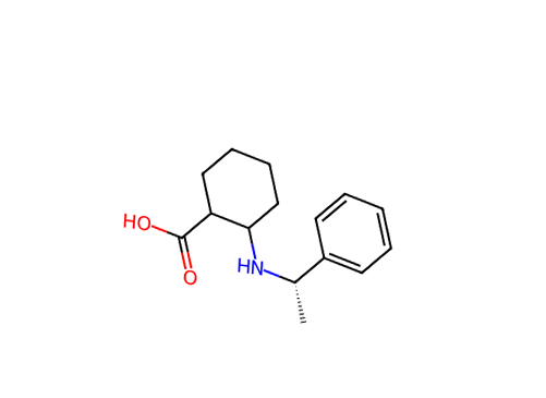 C[C@H](NC1CCCCC1C(=O)O)c1ccccc1